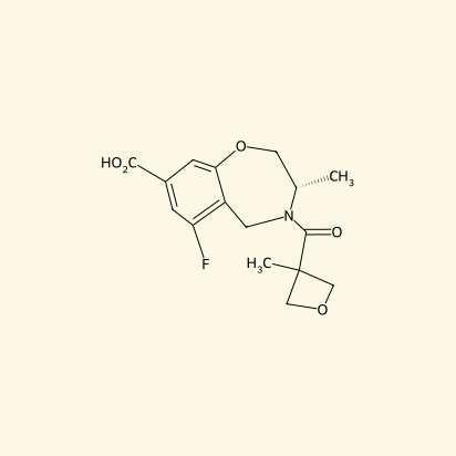 C[C@H]1COc2cc(C(=O)O)cc(F)c2CN1C(=O)C1(C)COC1